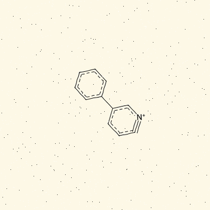 c1ccc(-c2ccccc2)c[n+]#1